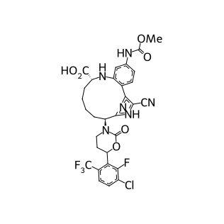 COC(=O)Nc1ccc2c(c1)N[C@@H](C(=O)O)CCCC[C@H](N1CCC(c3c(C(F)(F)F)ccc(Cl)c3F)OC1=O)c1nc-2c(C#N)[nH]1